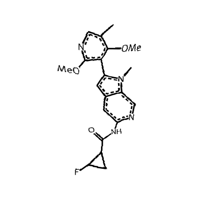 COc1ncc(C)c(OC)c1-c1cc2cc(NC(=O)C3CC3F)ncc2n1C